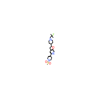 CC(C)(F)CN1CCC(C2Cc3cc(C4=CCN(S(C)(=O)=O)CC4)ncc3O2)CC1